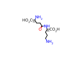 NCCC[C@@H](NC(=O)CC[C@H](N)C(=O)O)C(=O)O